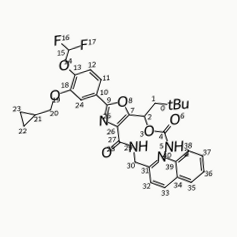 CC(C)(C)CC(OC(N)=O)c1oc(-c2ccc(OC(F)F)c(OCC3CC3)c2)nc1C(=O)NCc1ccc2ccccc2n1